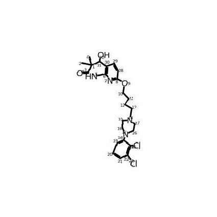 CC1(C)C(=O)Nc2nc(OCCCCN3CCN(c4cccc(Cl)c4Cl)CC3)ccc2C1O